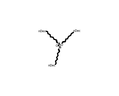 CCCCCCCCCCCCCCCCC=COP(=O)(OC=CCCCCCCCCCCCCCCCC)OC=CCCCCCCCCCCCCCCCC